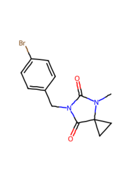 CN1C(=O)N(Cc2ccc(Br)cc2)C(=O)C12CC2